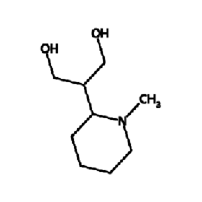 CN1CCCCC1C(CO)CO